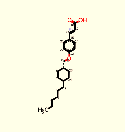 CCCCCC[C@H]1CC[C@H](COc2ccc(/C=C/C(=O)O)cc2)CC1